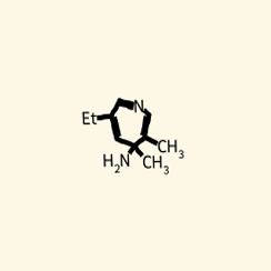 CCC1=CC(C)(N)C(C)=CN=C1